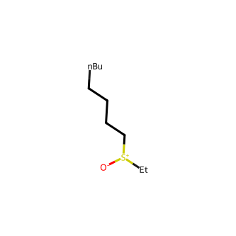 [CH2]C[S+]([O-])CCCCCCCC